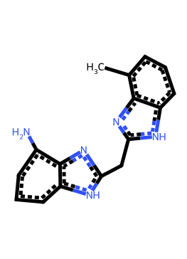 Cc1cccc2[nH]c(Cc3nc4c(N)cccc4[nH]3)nc12